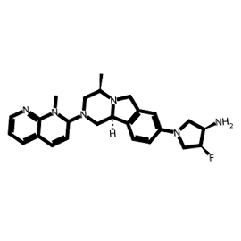 C[C@@H]1CN(C2C=Cc3cccnc3N2C)C[C@@H]2c3ccc(N4C[C@@H](N)[C@@H](F)C4)cc3CN12